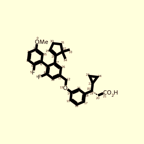 COc1ccc(F)c(-c2c(F)cc(COc3cccc([C@@H](CC(=O)O)C4CC4)c3)cc2C2=CCCC2(C)C)c1